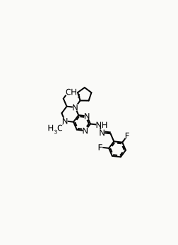 CCC1CN(C)c2cnc(N/N=C/c3c(F)cccc3F)nc2N1C1CCCC1